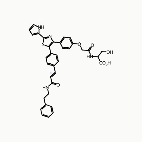 O=C(/C=C/c1ccc(-c2sc(-c3ccc[nH]3)nc2-c2ccc(OCC(=O)NC(CO)C(=O)O)cc2)cc1)NCCc1ccccc1